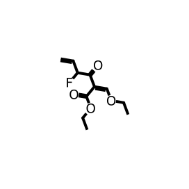 C=CC(F)C(=O)C(=COCC)C(=O)OCC